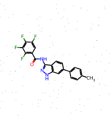 Cc1ccc(-c2ccc3c(NC(=O)c4cc(F)c(F)c(F)c4F)n[nH]c3c2)cc1